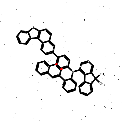 CC1(C)c2ccccc2-c2c(N(c3ccc(-c4ccc5c(ccc6sc7ccccc7c65)c4)cc3)c3ccccc3-c3ccc4ccccc4c3)cccc21